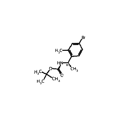 Cc1cc(Br)ccc1[C@@H](C)NC(=O)OC(C)(C)C